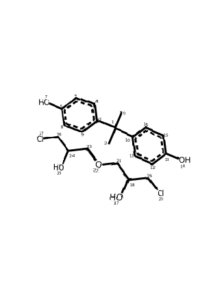 CC(C)(c1ccc(O)cc1)c1ccc(O)cc1.OC(CCl)COCC(O)CCl